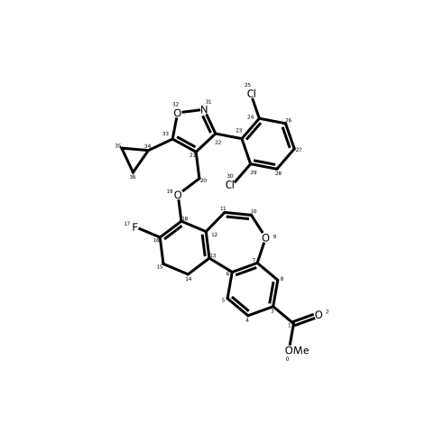 COC(=O)c1ccc2c(c1)OC=CC1=C2CCC(F)=C1OCc1c(-c2c(Cl)cccc2Cl)noc1C1CC1